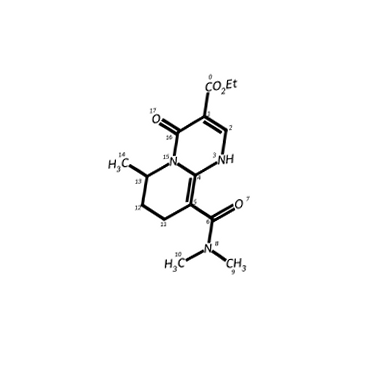 CCOC(=O)C1=CNC2=C(C(=O)N(C)C)CCC(C)N2C1=O